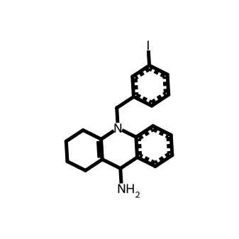 NC1C2=C(CCCC2)N(Cc2cccc(I)c2)c2ccccc21